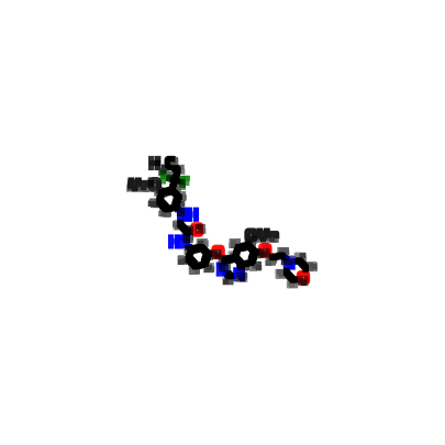 C=CC(F)(F)c1cc(NCC(=O)Nc2cccc(Oc3ncnc4cc(OCCN5CCOCC5)c(OC)cc34)c2)ccc1OC